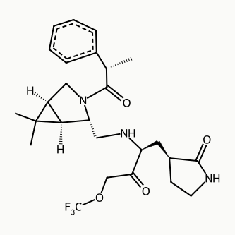 C[C@H](C(=O)N1C[C@H]2[C@@H]([C@H]1CN[C@@H](C[C@@H]1CCNC1=O)C(=O)COC(F)(F)F)C2(C)C)c1ccccc1